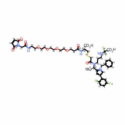 CC(C)(C)[C@H](c1cc(-c2cc(F)ccc2F)cn1Cc1ccccc1)N(CCCNC(F)(F)C(=O)O)C(=O)CSC[C@H](NC(=O)CCOCCOCCOCCOCCNC(=O)CN1C(=O)C=CC1=O)C(=O)O